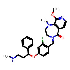 CNCCC(Oc1ccc(CN2CCN(C)c3c(ccnc3OC)C2=O)c(F)c1)c1ccccc1